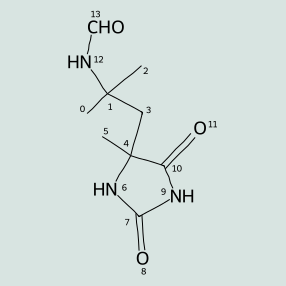 CC(C)(CC1(C)NC(=O)NC1=O)NC=O